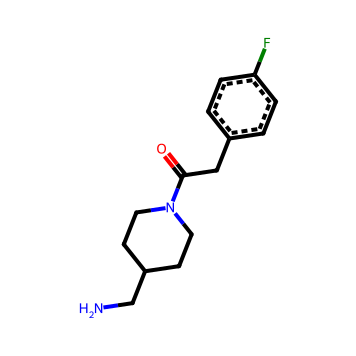 NCC1CCN(C(=O)Cc2ccc(F)cc2)CC1